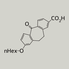 CCCCCCOc1ccc2c(c1)CCc1cc(C(=O)O)ccc1C2=O